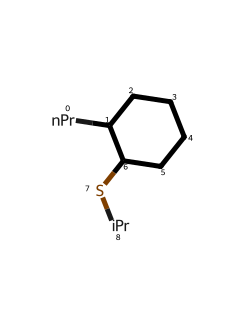 CCCC1CCCCC1SC(C)C